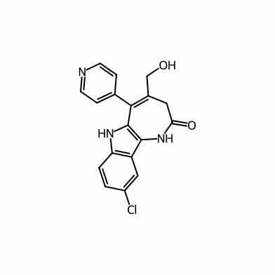 O=C1CC(CO)=C(c2ccncc2)c2[nH]c3ccc(Cl)cc3c2N1